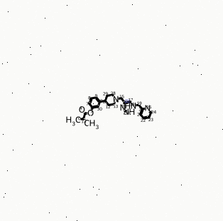 CC(C)C(=O)Oc1cccc(C2CCN(C/C(=C/NCc3ccccn3)N=N)CC2)c1